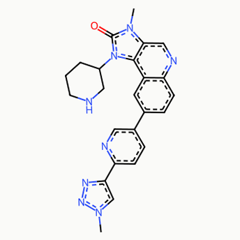 Cn1cc(-c2ccc(-c3ccc4ncc5c(c4c3)n(C3CCCNC3)c(=O)n5C)cn2)nn1